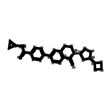 O=C(NC1CC1)c1ccc(-c2ccc3c(c2)CCN([C@@H]2CCN(C4CCC4)C2)C3=O)cc1